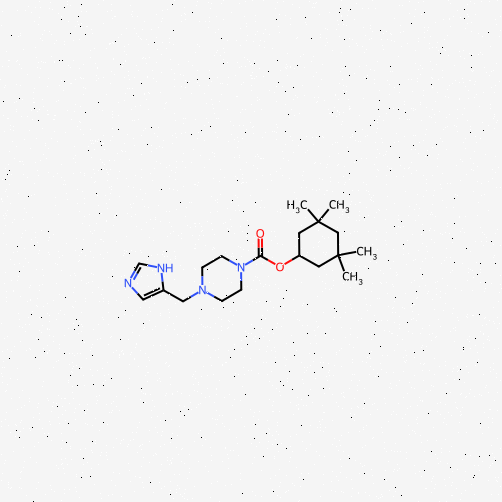 CC1(C)CC(OC(=O)N2CCN(Cc3cnc[nH]3)CC2)CC(C)(C)C1